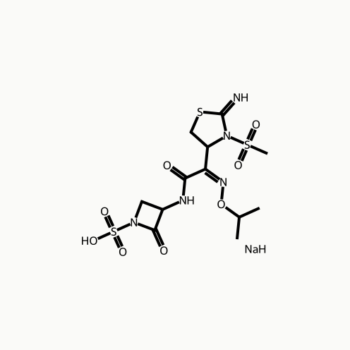 CC(C)ON=C(C(=O)NC1CN(S(=O)(=O)O)C1=O)C1CSC(=N)N1S(C)(=O)=O.[NaH]